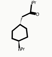 CCC[C@H]1CC[C@H](CC(=O)C(C)C)CC1